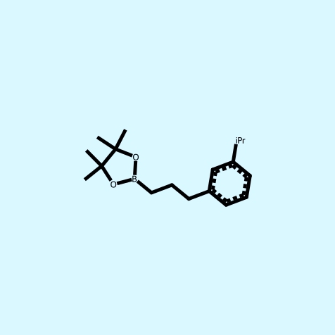 CC(C)c1cccc(CCCB2OC(C)(C)C(C)(C)O2)c1